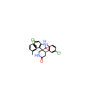 Cc1ccc(F)cc1[C@H]1NC(=O)C[C@H](c2cc(Cl)ccc2I)[C@]12C(=O)Nc1cc(Cl)ccc12